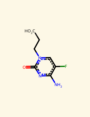 Nc1nc(=O)n(CCC(=O)O)cc1F